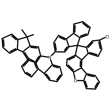 CC1(C)c2ccccc2-c2ccc(N(c3ccc4c(c3)C3(c5ccccc5-4)c4cc(Cl)ccc4-c4c3ccc3oc5ccccc5c43)c3ccccc3-c3ccccc3)cc21